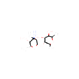 CCC1OC(C)[C@@H](O[C@H]2CC(C)(N)[C@H](O)[C@H](C)O2)[C@@H](O)C1O